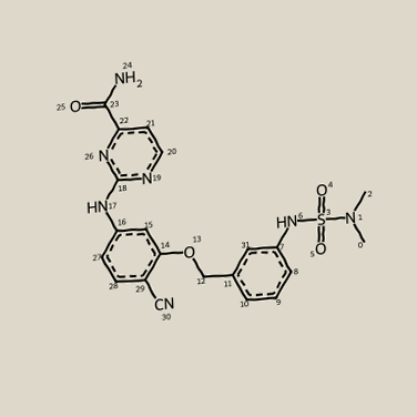 CN(C)S(=O)(=O)Nc1cccc(COc2cc(Nc3nccc(C(N)=O)n3)ccc2C#N)c1